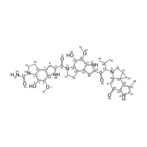 COc1c(O)c2c(c3cc(C(=O)N4CCc5c4c(O)c(OC)c4[nH]c(C(=O)C(C(C)C)N6CC7CC78C6=CC(=O)c6[nH]cc(C)c68)cc54)[nH]c13)CCN2C(N)=O